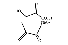 C=C(C)C(=O)OC.C=C(CO)C(=O)OCC